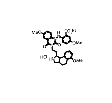 CCOC(=O)c1cc(OC)ccc1Nn1c(=O)n(CCC2NCC3CCc4c(OC)cccc4C32)c(=O)c2cc(OC)ccc21.Cl